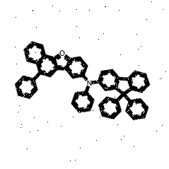 c1ccc(-c2cc3c4cc(N(c5ccccc5)c5ccc6c(c5)C(c5ccccc5)(c5ccccc5)c5ccccc5-6)ccc4oc3c3ccccc23)cc1